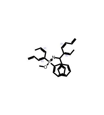 C=C/C=C\C(=C/C)C(N=P(OC)(C(/C=C\C)=C/C=C)c1ccccc1)c1ccccc1